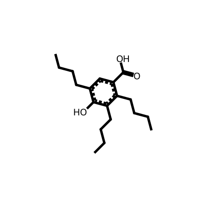 CCCCc1cc(C(=O)O)c(CCCC)c(CCCC)c1O